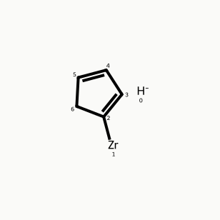 [H-].[Zr][C]1=CC=CC1